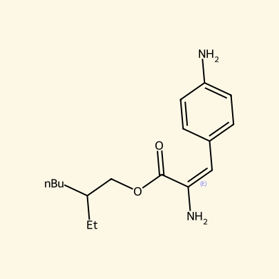 CCCCC(CC)COC(=O)/C(N)=C\c1ccc(N)cc1